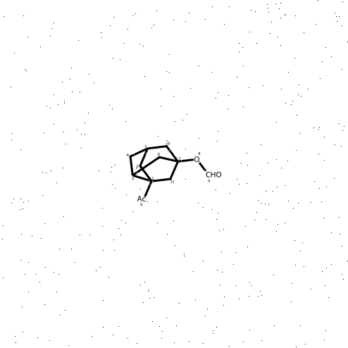 CC(=O)C12CC3CC1CC(OC=O)(C3)C2